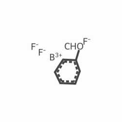 O=Cc1ccccc1.[B+3].[F-].[F-].[F-]